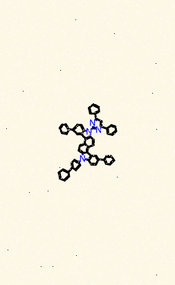 c1ccc(-c2ccc(-n3c4ccc(-c5ccccc5)cc4c4c5ccc6c(c5ccc43)c3cc(-c4ccccc4)ccc3n6-c3nc(-c4ccccc4)cc(-c4ccccc4)n3)cc2)cc1